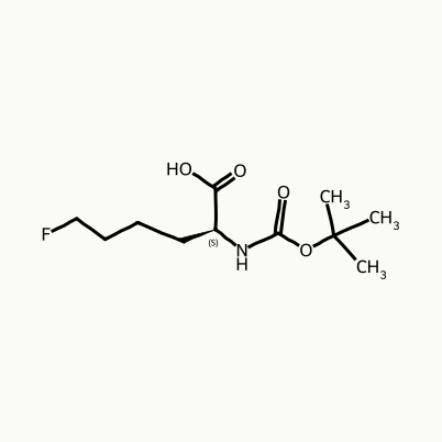 CC(C)(C)OC(=O)N[C@@H](CCCCF)C(=O)O